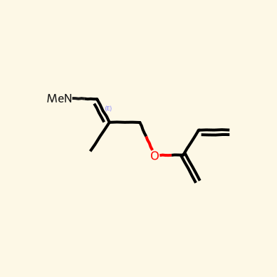 C=CC(=C)OC/C(C)=C/NC